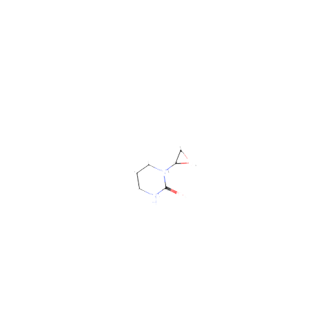 O=C1NCCCN1C1CO1